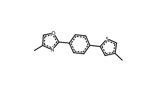 Cc1csc(-c2ccc(-c3nc(C)co3)cc2)c1